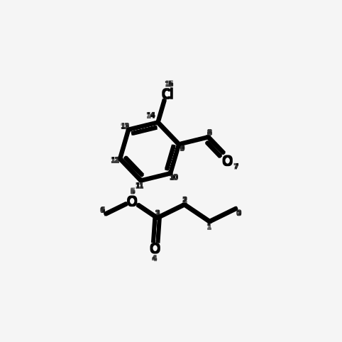 CCCC(=O)OC.O=Cc1ccccc1Cl